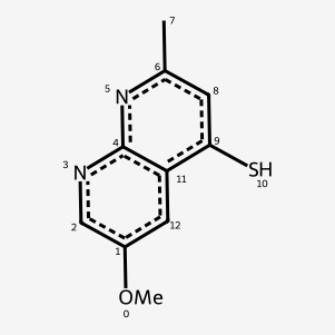 COc1cnc2nc(C)cc(S)c2c1